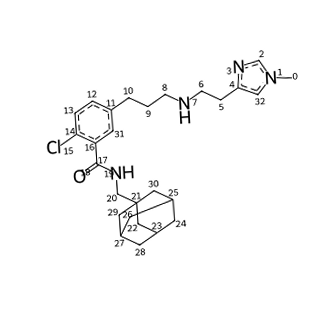 Cn1cnc(CCNCCCc2ccc(Cl)c(C(=O)NCC34CC5CC(CC(C5)C3)C4)c2)c1